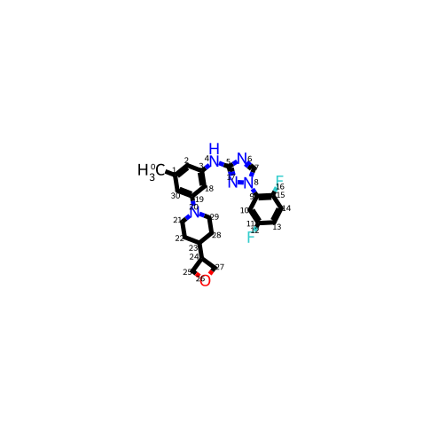 Cc1cc(Nc2ncn(-c3cc(F)ccc3F)n2)cc(N2CCC(C3COC3)CC2)c1